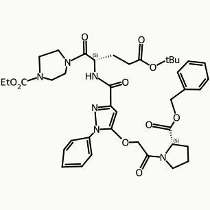 CCOC(=O)N1CCN(C(=O)[C@H](CCC(=O)OC(C)(C)C)NC(=O)c2cc(OCC(=O)N3CCC[C@H]3C(=O)OCc3ccccc3)n(-c3ccccc3)n2)CC1